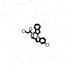 O=[C]c1cc2cc(Cl)ccc2n1C1Cc2ccccc2C1NC(=O)CCl